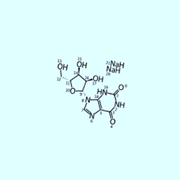 O=c1[nH]c(=O)c2ncn([C@@H]3O[C@H](CO)[C@@H](O)[C@H]3O)c2[nH]1.[NaH].[NaH]